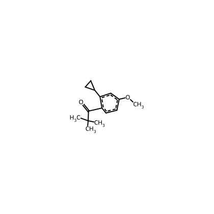 COc1ccc(C(=O)C(C)(C)C)c(C2CC2)c1